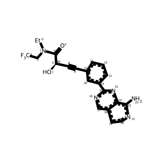 CCN(CC(F)(F)F)C(=O)[C@H](O)C#Cc1cccc(-c2ncc3ccnc(N)c3n2)c1